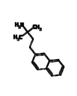 CC(C)(N)CCc1ccc2ccccc2c1